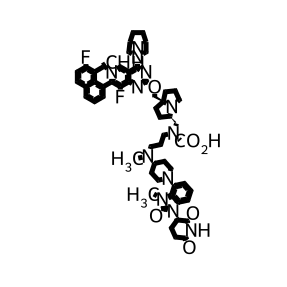 C#Cc1c(F)ccc2cccc(-c3ncc4c(N5CC6CCC(C5)N6)nc(OC[C@@]56CCCN5[C@H](CN(CCCN(C)C5CCN(c7cccc8c7n(C)c(=O)n8C7CCC(=O)NC7=O)CC5)C(=O)O)CC6)nc4c3F)c12